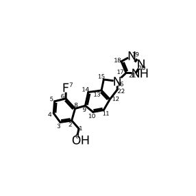 OCc1cccc(F)c1-c1ccc2c(c1)CN(c1cnn[nH]1)C2